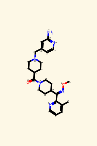 CON=C(c1ncccc1C)C1CCN(C(=O)C2CCN(Cc3ccnc(N)c3)CC2)CC1